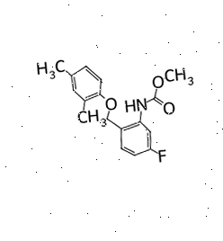 COC(=O)Nc1cc(F)ccc1COc1ccc(C)cc1C